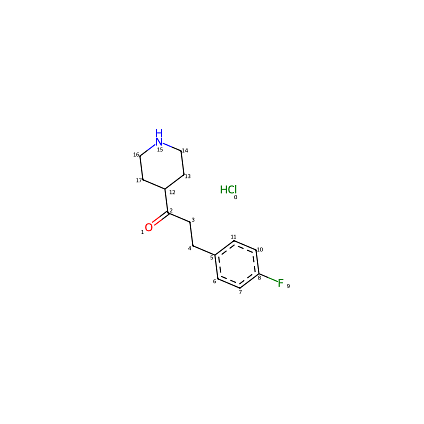 Cl.O=C(CCc1ccc(F)cc1)C1CCNCC1